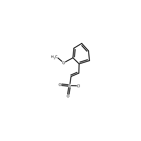 COc1ccccc1/C=C/S(=O)(=O)Cl